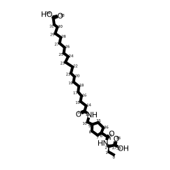 CC[C@@H](NC(=O)C1CCC(CNC(=O)CCCCCCCCCCCCCCCCCCC(=O)O)CC1)C(=O)O